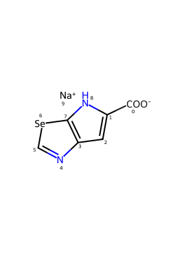 O=C([O-])c1cc2nc[se]c2[nH]1.[Na+]